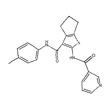 Cc1ccc(NC(=O)c2c(NC(=O)c3cccnc3)sc3c2CCC3)cc1